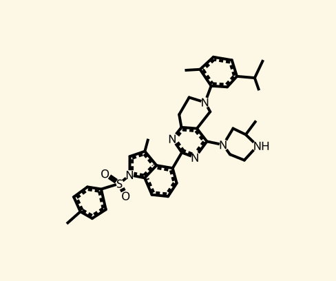 Cc1ccc(S(=O)(=O)n2cc(C)c3c(-c4nc5c(c(N6CCNC(C)C6)n4)CN(c4cc(C(C)C)ccc4C)CC5)cccc32)cc1